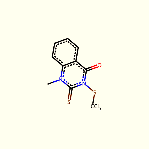 Cn1c(=S)n(SC(Cl)(Cl)Cl)c(=O)c2ccccc21